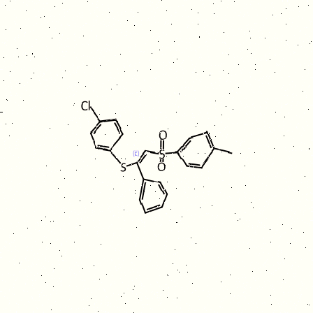 Cc1ccc(S(=O)(=O)/C=C(/Sc2ccc(Cl)cc2)c2ccccc2)cc1